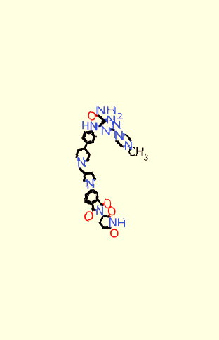 CN1CCN(c2nnc(C(N)=O)c(Nc3ccc(C4CCN(CC5CCN(c6ccc7c(c6)C(=O)N(C6CCC(=O)NC6=O)C7=O)C5)CC4)cc3)n2)CC1